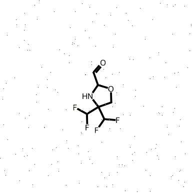 O=CC1NC(C(F)F)(C(F)F)CO1